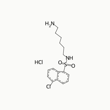 Cl.NCCCCCCNS(=O)(=O)c1cccc2c(Cl)cccc12